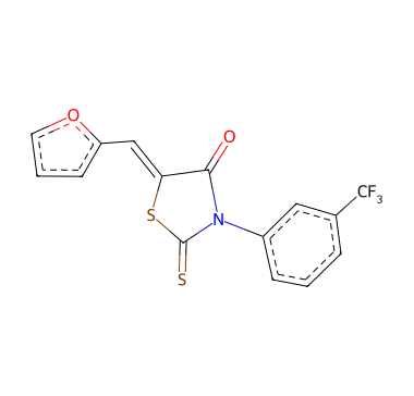 O=C1C(=Cc2ccco2)SC(=S)N1c1cccc(C(F)(F)F)c1